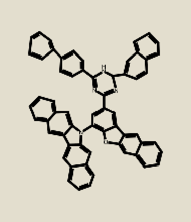 c1ccc(-c2ccc(C3=NC(c4cc(-n5c6cc7ccccc7cc6c6cc7ccccc7cc65)c5oc6cc7ccccc7cc6c5c4)=NC(c4ccc5ccccc5c4)N3)cc2)cc1